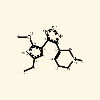 CCc1cc(-c2nsnc2C2=CCCN(C)C2)c(OC)s1